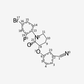 N#Cc1cccc(OC2CCCN(c3ccc(Br)cc3F)C2=O)c1